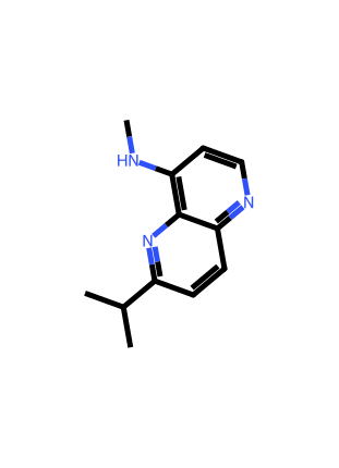 CNc1ccnc2ccc(C(C)C)nc12